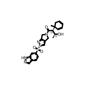 C[C@H](O)[C@@H](C(=O)N1Cc2cn(S(=O)(=O)c3ccc4cn[nH]c4c3)nc2C1)C1(C)C=CC=CC1